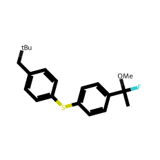 COC(C)(F)c1ccc(Sc2ccc(CC(C)(C)C)cc2)cc1